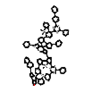 C[Si]1(C)c2ccccc2-c2c(-c3nc(-c4ccccc4)nc(-c4ccc(-c5ccccc5)cc4)n3)ccc(-c3cccc4c3-c3cc(-c5ccccc5)ccc3C43c4ccc(-c5ccccc5)cc4Oc4cc(-c5ccc(-c6nc(-c7ccccc7)nc(-c7ccccc7)n6)c6c5-c5cccc(-c7ccc8c(c7)Oc7ccccc7C87c8ccccc8-c8ccc(-c9ccc%10ccccc%10c9)cc87)c5[Si]6(C)C)ccc43)c21